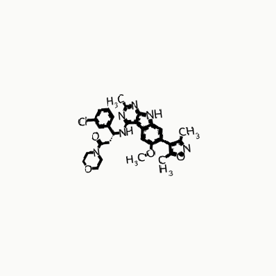 COc1cc2c(cc1-c1c(C)noc1C)[nH]c1nc(C)nc(N[C@H](CC(=O)N3CCOCC3)c3cccc(Cl)c3)c12